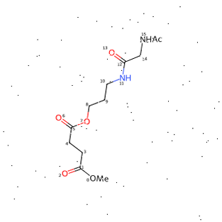 COC(=O)CCC(=O)OCCCNC(=O)CNC(C)=O